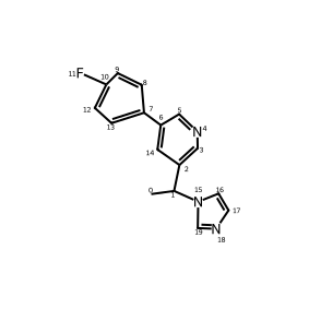 CC(c1cncc(-c2ccc(F)cc2)c1)n1ccnc1